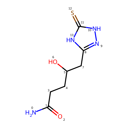 NC(=O)CCC(O)Cc1n[nH]c(=S)[nH]1